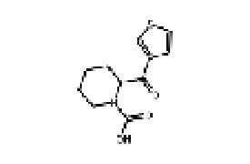 O=C(c1ccsc1)C1CCCCN1C(=O)O